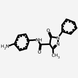 CC1=NN(c2ccccc2)C(=O)C1C(=O)Nc1ccc(N)cc1